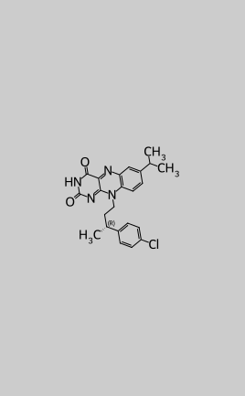 CC(C)c1ccc2c(c1)nc1c(=O)[nH]c(=O)nc-1n2CC[C@@H](C)c1ccc(Cl)cc1